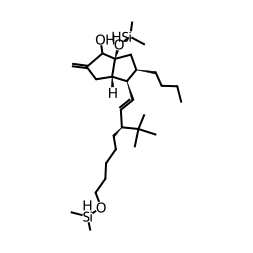 C=C1C[C@H]2[C@H](C=C[C@H](CCCCCO[SiH](C)C)C(C)(C)C)[C@H](CCCC)C[C@@]2(O[SiH](C)C)C1O